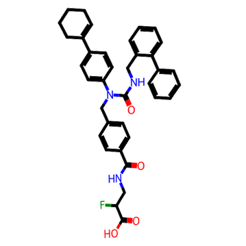 O=C(NCC(F)C(=O)O)c1ccc(CN(C(=O)NCc2ccccc2-c2ccccc2)c2ccc(C3=CCCCC3)cc2)cc1